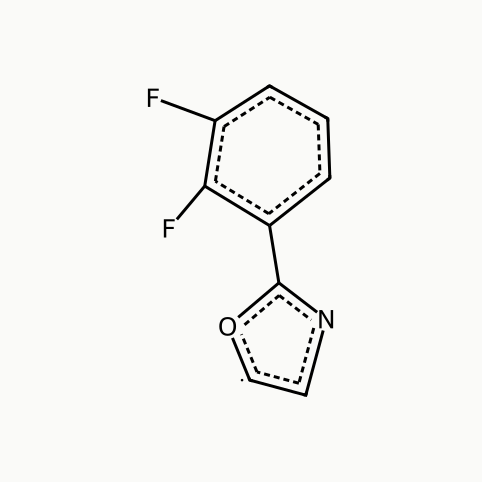 Fc1cccc(-c2nc[c]o2)c1F